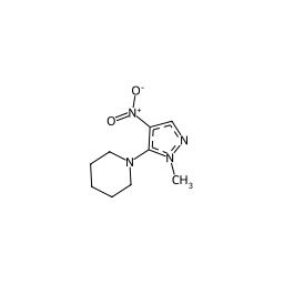 Cn1ncc([N+](=O)[O-])c1N1CCCCC1